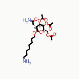 CC(=O)OC[C@H]1O[C@@H](OCCCCCCCCN)[C@H](CC(N)=O)[C@@H](OC(C)=O)[C@H]1OC(C)=O